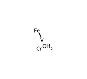 O.[Cr].[V][Fe]